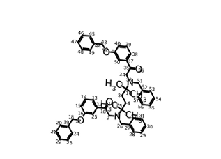 CC(C)(CCC(C)(C)N(CC(=O)c1cccc(OCc2ccccc2)c1)Cc1ccccc1)N(CC(=O)c1cccc(OCc2ccccc2)c1)Cc1ccccc1